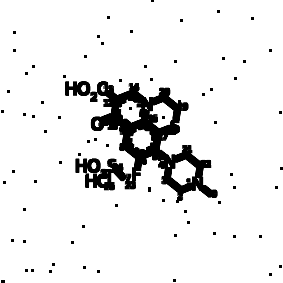 CN1CCN(c2c(F)cc3c(=O)c(C(=O)O)cn4c3c2SCC4)CC1.CS(=O)(=O)O.Cl